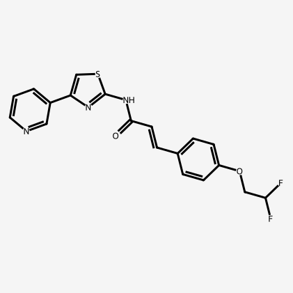 O=C(C=Cc1ccc(OCC(F)F)cc1)Nc1nc(-c2cccnc2)cs1